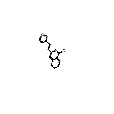 O=c1oc(/C=C/c2ccoc2)cc2ccccc12